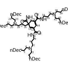 CCCCCCCCCCCCN(CCCCCCCCCCCC)CCCNC(=O)C1=CC(CCCN(CCCCCCCCCCCC)CCCCCCCCCCCC)(C(N)=O)CC(C(=O)NCCCN(CCCCCCCCCCCC)CCCCCCCCCCCC)=C1